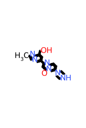 Cc1cn2cc(-c3cc(=O)n4cc(N5CCNCC5)ccc4n3)cc(CO)c2n1